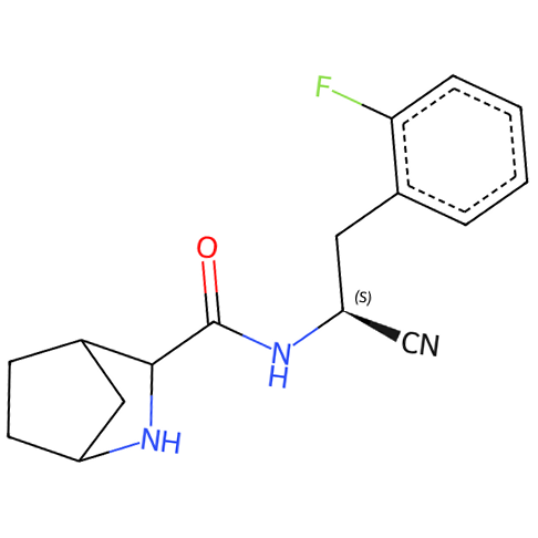 N#C[C@H](Cc1ccccc1F)NC(=O)C1NC2CCC1C2